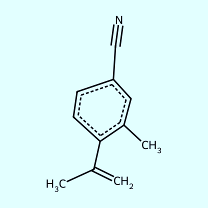 C=C(C)c1ccc(C#N)cc1C